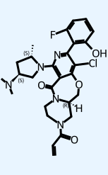 C=CC(=O)N1CCN2C(=O)c3c(N4C[C@@H](N(C)C)C[C@@H]4C)nc(-c4c(O)cccc4F)c(Cl)c3OC[C@H]2C1